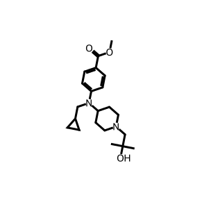 COC(=O)c1ccc(N(CC2CC2)C2CCN(CC(C)(C)O)CC2)cc1